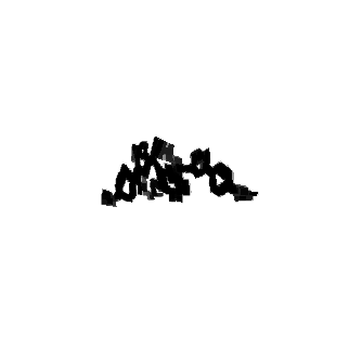 Cc1nnn(CC2CC(c3ccc(Br)cc3)=NO2)c1C(N)C1CC(c2ccc(Br)cc2)=NO1